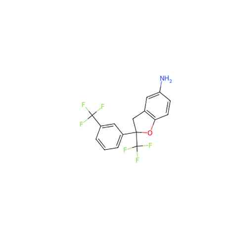 Nc1ccc2c(c1)CC(c1cccc(C(F)(F)F)c1)(C(F)(F)F)O2